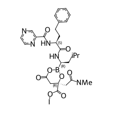 CNC(=O)C[C@]1(C(=O)OI)CC(=O)OB([C@H](CC(C)C)NC(=O)[C@H](CCc2ccccc2)NC(=O)c2cnccn2)O1